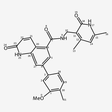 COc1cc(-c2cc(C(=O)NCc3c(C)cc(C)[nH]c3=O)c3ccc(=O)[nH]c3c2)ccc1C